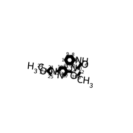 CCC[C@H]1C(=O)Nc2ccccc2N1C(=O)c1ccc(N2CC(OC)C2)nc1